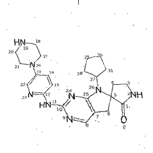 O=C1NCCC12Cc1cnc(Nc3ccc(N4CCNCC4)cn3)nc1N2C1CCCC1